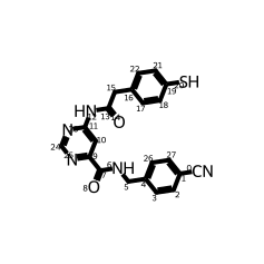 N#Cc1ccc(CNC(=O)c2cc(NC(=O)Cc3ccc(S)cc3)ncn2)cc1